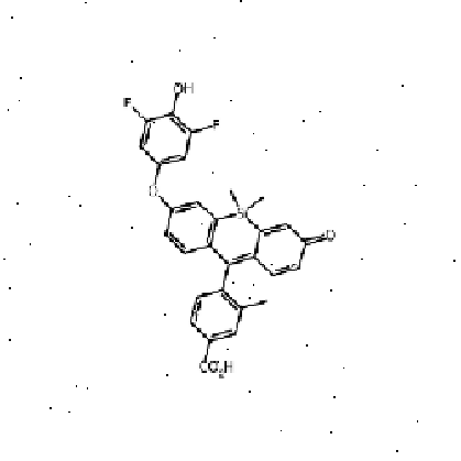 Cc1cc(C(=O)O)ccc1C1=C2C=CC(=O)C=C2[Si](C)(C)c2cc(Oc3cc(F)c(O)c(F)c3)ccc21